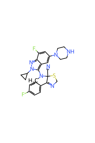 CN(c1c2cc(N3CCNCC3)cc(F)c2nn1C1CC1)C1(C#N)SCN=C1c1ccc(F)cc1